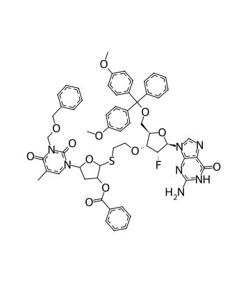 COc1ccc(C(OC[C@H]2O[C@@H](n3cnc4c(=O)[nH]c(N)nc43)[C@H](F)[C@@H]2OCCSC2OC(n3cc(C)c(=O)n(COCc4ccccc4)c3=O)CC2OC(=O)c2ccccc2)(c2ccccc2)c2ccc(OC)cc2)cc1